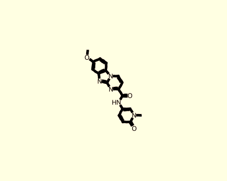 COc1ccc2c(c1)nc1nc(C(=O)Nc3ccc(=O)n(C)c3)ccn12